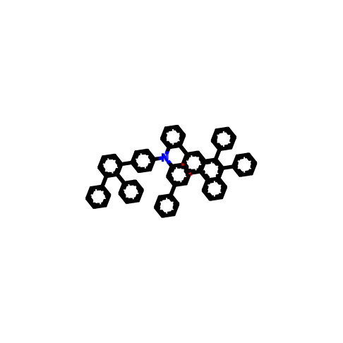 c1ccc(-c2cccc(N(c3ccc(-c4cccc(-c5ccccc5)c4-c4ccccc4)cc3)c3ccccc3-c3ccc4c(c3)c(-c3ccccc3)c(-c3ccccc3)c3ccccc34)c2)cc1